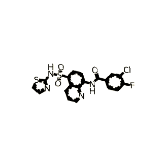 O=C(Nc1ccc(S(=O)(=O)Nc2nccs2)c2cccnc12)c1ccc(F)c(Cl)c1